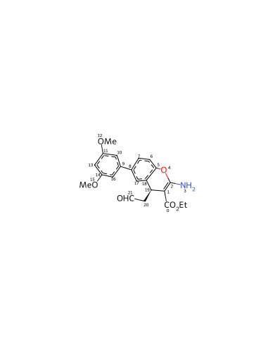 CCOC(=O)C1=C(N)Oc2ccc(-c3cc(OC)cc(OC)c3)cc2[C@@H]1CC=O